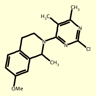 COc1ccc2c(c1)C(C)N(c1nc(Cl)nc(C)c1C)CC2